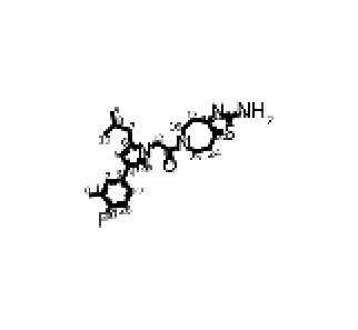 Cc1cc(-c2cc(CC(C)C)n(CC(=O)N3CCc4nc(N)sc4CC3)n2)ccc1F